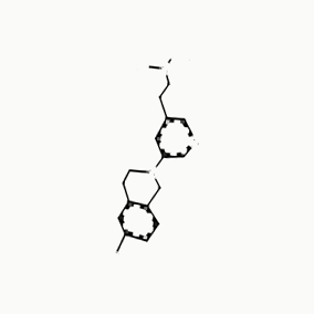 CN(C)CCc1cncc(N2CCc3cc(Cl)ccc3C2)c1